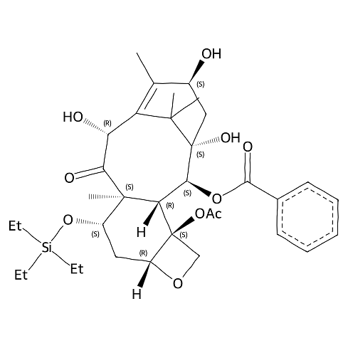 CC[Si](CC)(CC)O[C@H]1C[C@H]2OC[C@@]2(OC(C)=O)[C@H]2[C@H](OC(=O)c3ccccc3)[C@]3(O)C[C@H](O)C(C)=C([C@@H](O)C(=O)[C@]12C)C3(C)C